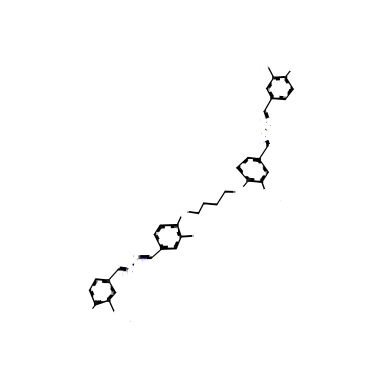 Cc1ccc(/C=N/N=C/c2ccc(OCCCCOc3ccc(/C=N/N=C/c4ccc(C)c(C)c4)cc3C)c(C)c2)cc1C